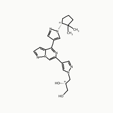 CC1(C)CCC[C@H]1n1cc(-c2nc(-c3cnn(C[C@@H](O)CO)c3)cn3nccc23)cn1